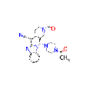 CC(=O)N1CCN(c2c3c(c(C#N)c4nc5ccccc5n24)CCN(C=O)C3)CC1